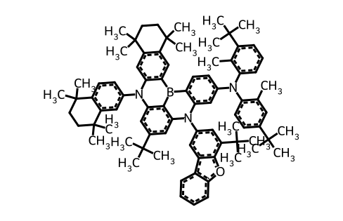 Cc1cc(C(C)(C)C)ccc1N(c1ccc2c(c1)N(c1cc(C(C)(C)C)c3oc4ccccc4c3c1)c1cc(C(C)(C)C)cc3c1B2c1cc2c(cc1N3c1ccc3c(c1)C(C)(C)CCC3(C)C)C(C)(C)CCC2(C)C)c1cccc(C(C)(C)C)c1C